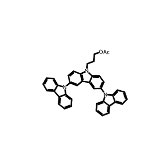 CC(=O)OCCCn1c2ccc(-n3c4ccccc4c4ccccc43)cc2c2cc(-n3c4ccccc4c4ccccc43)ccc21